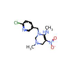 CNC1=C([N+](=O)[O-])CN(C)CN1Cc1ccc(Cl)nc1